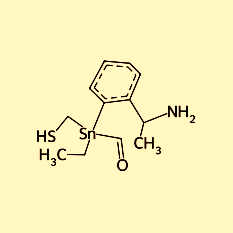 C[CH2][Sn]([CH]=O)([CH2]S)[c]1ccccc1C(C)N